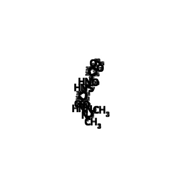 Cc1cc(C)nc(NS(=O)(=O)c2ccc(NC(=S)NC(=O)c3ccc4c(c3)OCCO4)cc2)n1